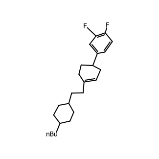 CCCCC1CCC(CCC2=CCC(c3ccc(F)c(F)c3)CC2)CC1